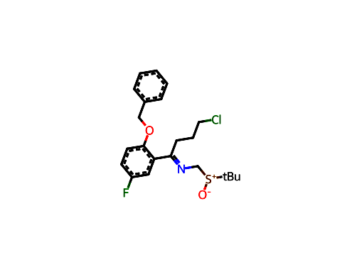 CC(C)(C)[S+]([O-])C/N=C(\CCCCl)c1cc(F)ccc1OCc1ccccc1